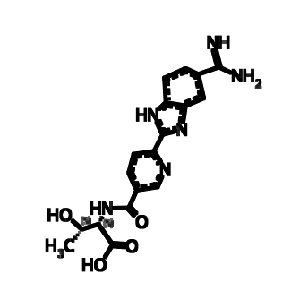 C[C@H](O)[C@H](NC(=O)c1ccc(-c2nc3cc(C(=N)N)ccc3[nH]2)nc1)C(=O)O